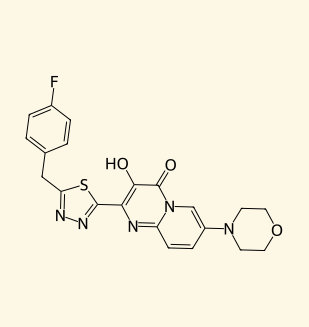 O=c1c(O)c(-c2nnc(Cc3ccc(F)cc3)s2)nc2ccc(N3CCOCC3)cn12